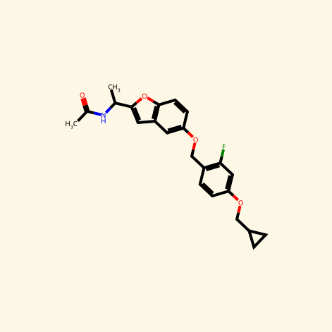 CC(=O)NC(C)c1cc2cc(OCc3ccc(OCC4CC4)cc3F)ccc2o1